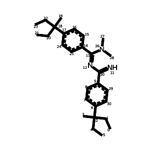 CCC(C)(CC)c1ccc(C(=N)/N=C(/c2ccc(C(C)(CC)CC)cc2)N(C)C)cc1